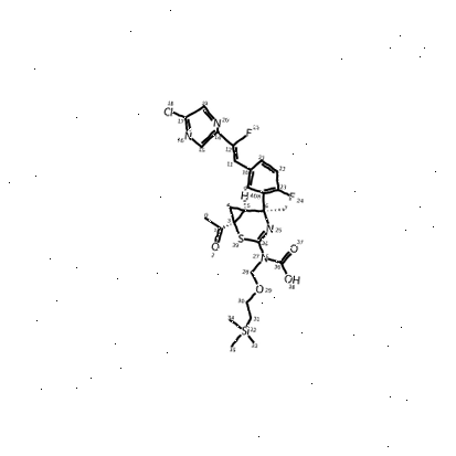 CC(=O)[C@]12C[C@H]1[C@@](C)(c1cc(/C=C(\F)c3cnc(Cl)cn3)ccc1F)N=C(N(COCC[Si](C)(C)C)C(=O)O)S2